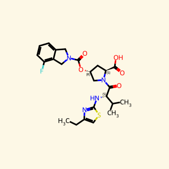 CCc1csc(N[C@H](C(=O)N2C[C@H](OC(=O)N3Cc4cccc(F)c4C3)C[C@H]2C(=O)O)C(C)C)n1